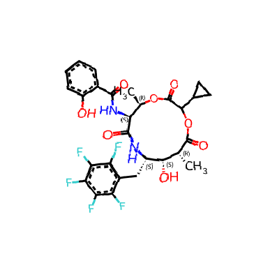 C[C@H]1OC(=O)C(C2CC2)OC(=O)[C@H](C)[C@H](O)[C@H](Cc2c(F)c(F)c(F)c(F)c2F)NC(=O)[C@H]1NC(=O)c1ccccc1O